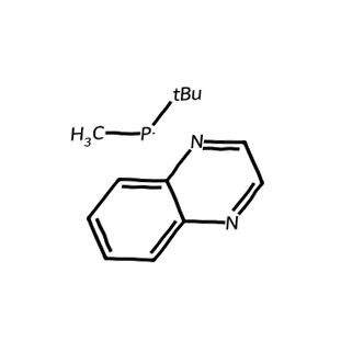 C[P]C(C)(C)C.c1ccc2nccnc2c1